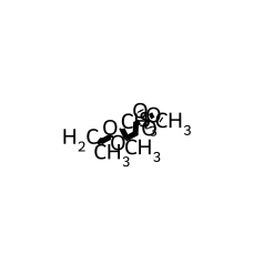 C=C(C)C(=O)OC(C)(CC)CCS(=O)(=O)OC